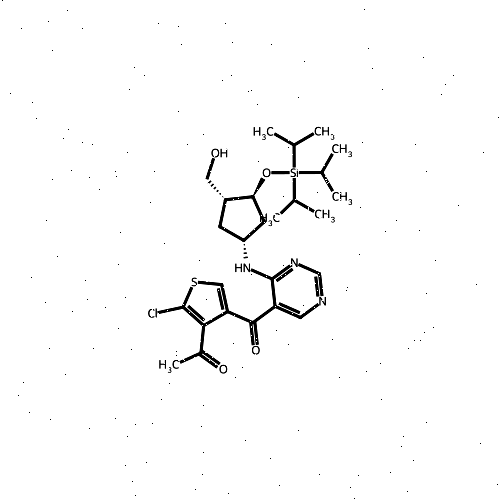 CC(=O)c1c(C(=O)c2cncnc2N[C@@H]2C[C@H](CO)[C@@H](O[Si](C(C)C)(C(C)C)C(C)C)C2)csc1Cl